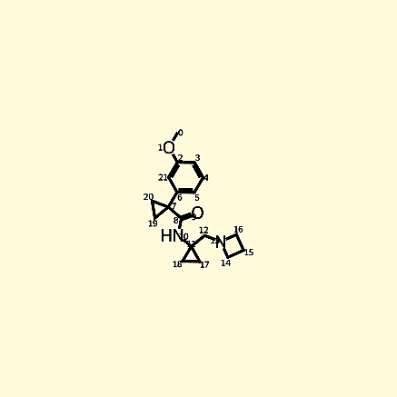 COc1cccc(C2(C(=O)NC3(CN4CCC4)CC3)CC2)c1